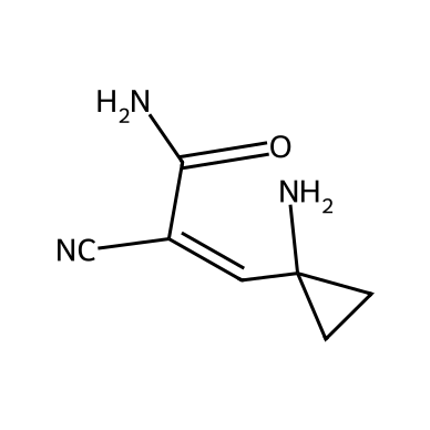 N#CC(=CC1(N)CC1)C(N)=O